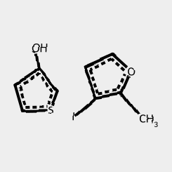 Cc1occc1I.Oc1ccsc1